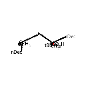 CCCCCCCCCCCCCCCCCCCCCCCCC(C(=O)O)[C@@H](CCCCCCCCCCCCCCC[C@@H]1C[C@@H]1CCCCCCCCCCCCCCCCCC[C@H](OC1CCCCO1)[C@@H](C)CCCCCCCCCCCCCCCCCC)O[Si](C)(C)C(C)(C)C